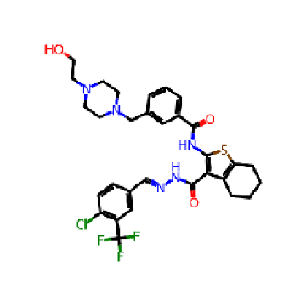 O=C(Nc1sc2c(c1C(=O)N/N=C/c1ccc(Cl)c(C(F)(F)F)c1)CCCC2)c1cccc(CN2CCN(CCO)CC2)c1